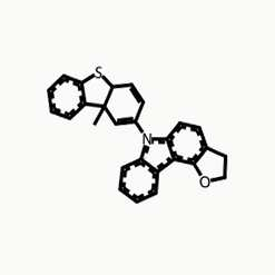 CC12C=C(n3c4ccccc4c4c5c(ccc43)CCO5)C=CC1Sc1ccccc12